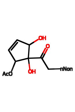 CCCCCCCCCCC(=O)C1(O)C(O)C=CC1OC(C)=O